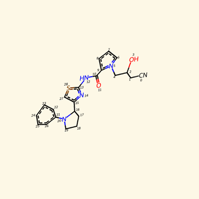 N#CCC(O)Cn1cccc1C(=O)Nc1nc(C2CCCN2c2ccccc2)cs1